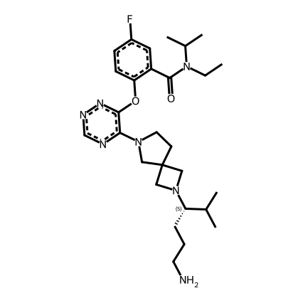 CCN(C(=O)c1cc(F)ccc1Oc1nncnc1N1CCC2(C1)CN([C@@H](CCCN)C(C)C)C2)C(C)C